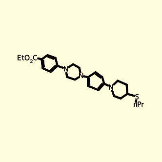 CCCSC1CCN(c2ccc(N3CCN(c4ccc(C(=O)OCC)cc4)CC3)cc2)CC1